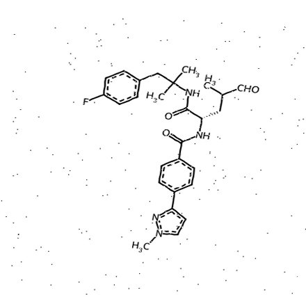 CC(C=O)C[C@H](NC(=O)c1ccc(-c2ccn(C)n2)cc1)C(=O)NC(C)(C)Cc1ccc(F)cc1